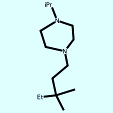 CCC(C)(C)CCN1CCN(C(C)C)CC1